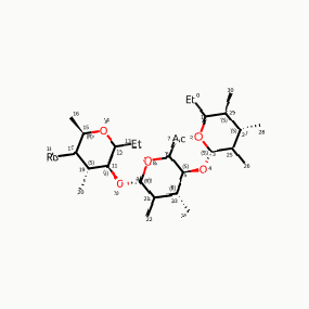 CCC1O[C@@H](O[C@@H]2C(C(C)=O)O[C@@H](O[C@@H]3C(CC)O[C@H](C)[CH]([Rb])[C@H]3C)C(C)[C@H]2C)C(C)[C@@H](C)[C@@H]1C